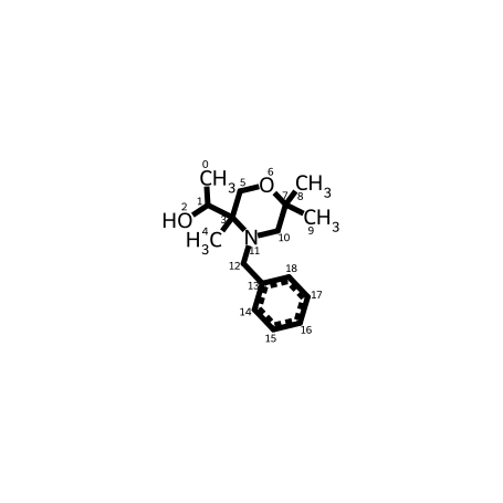 CC(O)C1(C)COC(C)(C)CN1Cc1ccccc1